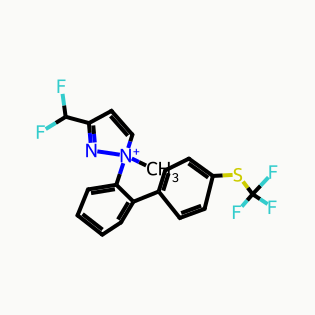 C[N+]1(c2ccccc2-c2ccc(SC(F)(F)F)cc2)C=CC(C(F)F)=N1